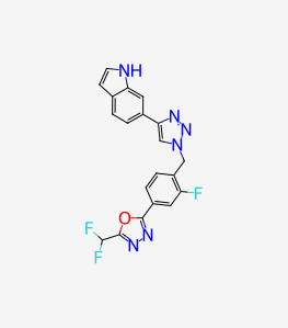 Fc1cc(-c2nnc(C(F)F)o2)ccc1Cn1cc(-c2ccc3cc[nH]c3c2)nn1